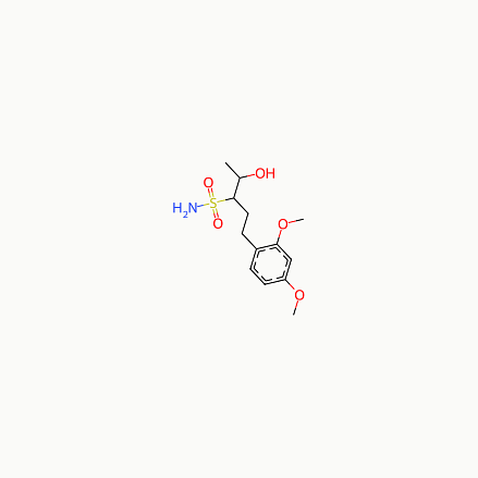 COc1ccc(CCC(C(C)O)S(N)(=O)=O)c(OC)c1